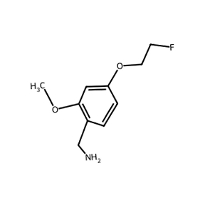 COc1cc(OCCF)ccc1CN